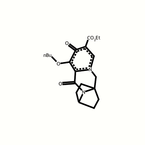 CCCCOc1c2n(cc(C(=O)OCC)c1=O)CC13CCC(CC1)N3C2=O